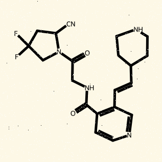 N#CC1CC(F)(F)CN1C(=O)CNC(=O)c1ccncc1C=CC1CCNCC1